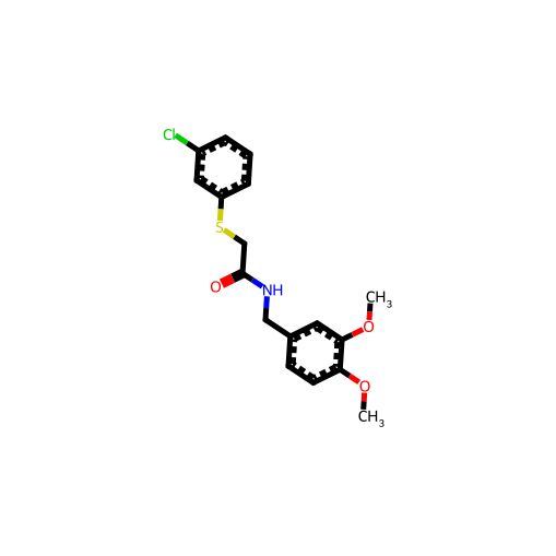 COc1ccc(CNC(=O)CSc2cccc(Cl)c2)cc1OC